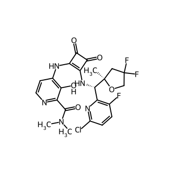 CN(C)C(=O)c1nccc(Nc2c(N[C@@H](c3nc(Cl)ccc3F)[C@@]3(C)CC(F)(F)CO3)c(=O)c2=O)c1O